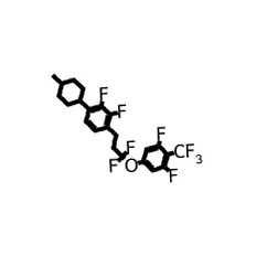 CC1CCC(c2ccc(CCC(F)(F)Oc3cc(F)c(C(F)(F)F)c(F)c3)c(F)c2F)CC1